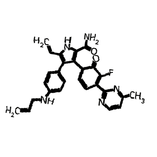 C=CCNc1ccc(-c2c(C=C)[nH]c(C(N)=O)c2C2C=CC(c3nccc(C)n3)=C(F)C2=O)cc1